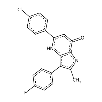 Cc1nn2c(=O)cc(-c3ccc(Cl)cc3)[nH]c2c1-c1ccc(F)cc1